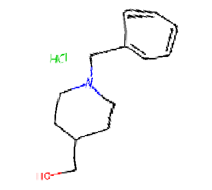 Cl.OCC1CCN(Cc2ccccc2)CC1